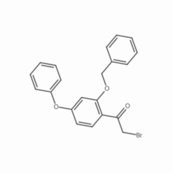 O=C(CBr)c1ccc(Oc2ccccc2)cc1OCc1ccccc1